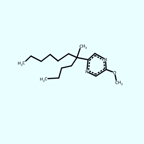 CCCCCCC(C)(CCCC)c1cnc(OC)cn1